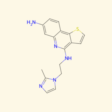 Cc1nccn1CCNc1nc2cc(N)ccc2c2sccc12